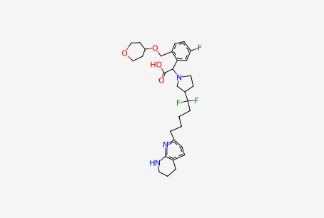 O=C(O)C(c1cc(F)ccc1COC1CCOCC1)N1CCC(C(F)(F)CCCCc2ccc3c(n2)NCCC3)C1